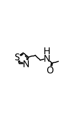 CC(=O)NCCc1cscn1